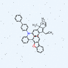 C=CC1=C(/C=C\C)C(C)(C)c2cc(N(c3ccc(-c4ccccc4)cc3)c3ccccc3-c3cccc4c3oc3ccccc34)ccc21